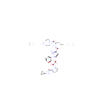 CCOC(=O)N1CCN(C(=O)C(CCC(=O)O)NC(=O)c2cc(OC(C)(C)C(=O)N3CCCC3C(=O)NC3CC3)n(-c3ccccc3)n2)CC1